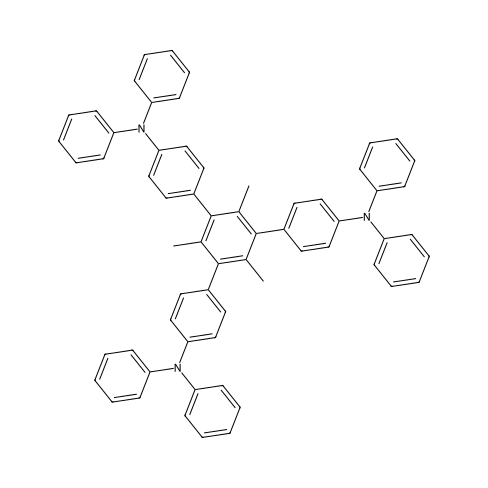 Cc1c(-c2ccc(N(c3ccccc3)c3ccccc3)cc2)c(C)c(-c2ccc(N(c3ccccc3)c3ccccc3)cc2)c(C)c1-c1ccc(N(c2ccccc2)c2ccccc2)cc1